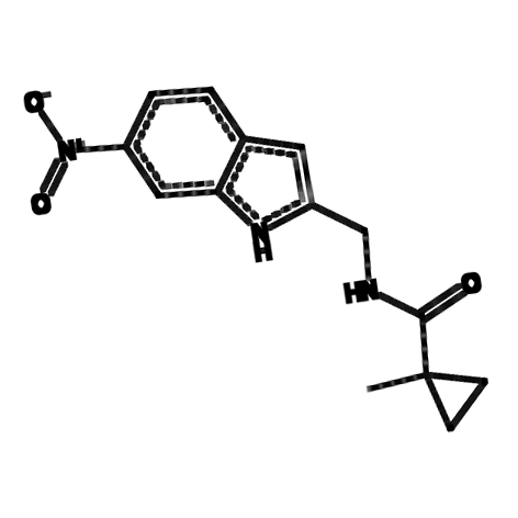 CC1(C(=O)NCc2cc3ccc([N+](=O)[O-])cc3[nH]2)CC1